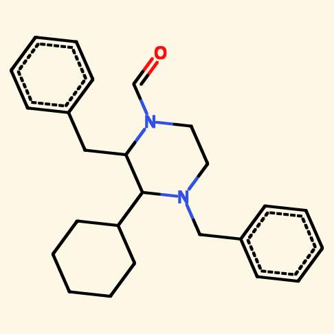 O=CN1CCN(Cc2ccccc2)C(C2CCCCC2)C1Cc1ccccc1